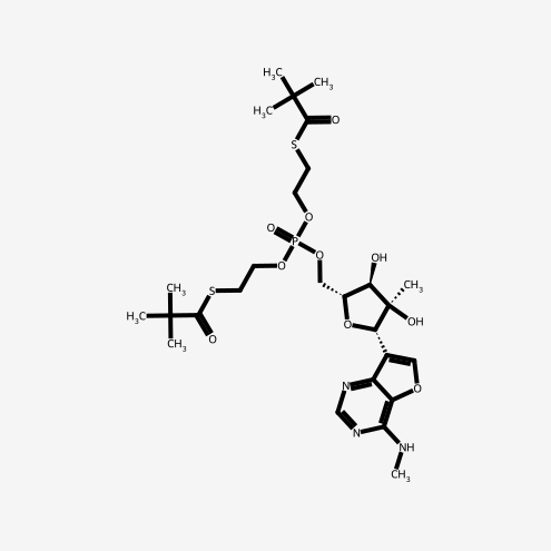 CNc1ncnc2c([C@@H]3O[C@H](COP(=O)(OCCSC(=O)C(C)(C)C)OCCSC(=O)C(C)(C)C)[C@@H](O)[C@@]3(C)O)coc12